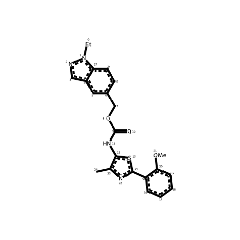 CCn1ncc2cc(COC(=O)Nc3sc(-c4ccccc4OC)nc3C)ccc21